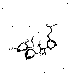 CCN(Oc1ccc(Cl)cc1Cl)C(=O)c1c(-c2cccc(CCC(=O)O)c2)noc1-c1ccccc1